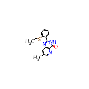 CCSc1ccccc1-c1nc2cc(C)cnc2c(=O)[nH]1